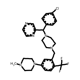 CN1CCN(c2ccc(C(F)(F)F)c(CN3CCN(C(c4ccc(Cl)cc4)c4cnccn4)CC3)c2)CC1